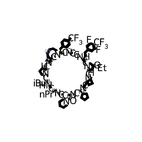 CCC[C@H]1CN[C@@H]([C@@H](C)CC)CN2CCC[C@H]2CN(C)[C@H]2C/C=C\CCN(C2)[C@@H](Cc2ccc(C(F)(F)F)cc2)CN(C)CCN[C@@H](CCc2cc(F)c(C(F)(F)F)c(F)c2)CN2C[C@H](OCC)C[C@H]2CN(C)C2(CCC2)CN(C)[C@@H](C2CCCC2)CN(C)[C@H](C(=O)N2CCCCC2)CCN1C